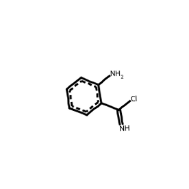 N=C(Cl)c1ccccc1N